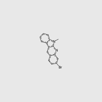 Cn1c2ccccc2c2cc3ccc(Br)cc3nc21